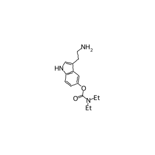 CCN(CC)C(=O)Oc1ccc2[nH]cc(CCN)c2c1